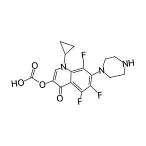 O=C(O)Oc1cn(C2CC2)c2c(F)c(N3CCNCC3)c(F)c(F)c2c1=O